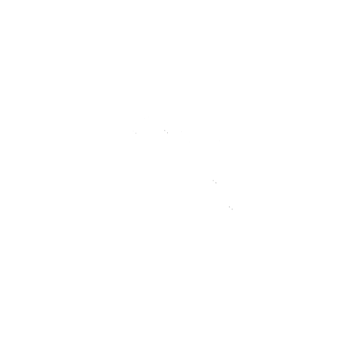 Cc1ccc2cccc(NC(=O)C3CCC(NCc4cc5c(cn4)OCCO5)CC3)c2n1.Cl